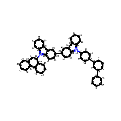 c1ccc(-c2cccc(-c3ccc(-n4c5ccccc5c5cc(-c6ccc7c(c6)c6ccccc6n7-c6cc7ccccc7c7ccccc67)ccc54)cc3)c2)cc1